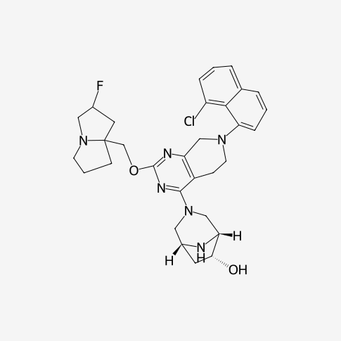 O[C@@H]1C[C@@H]2CN(c3nc(OCC45CCCN4CC(F)C5)nc4c3CCN(c3cccc5cccc(Cl)c35)C4)C[C@H]1N2